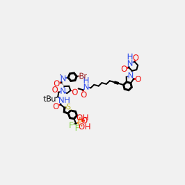 CN(C(=O)[C@@H]1C[C@@H](OCC(=O)NCCCCCCC#Cc2cccc3c2CN(C2CCC(=O)NC2=O)C3=O)CN1C(=O)[C@@H](NC(=O)c1cc2cc(C(F)(F)P(=O)(O)O)ccc2s1)C(C)(C)C)c1ccc(Br)cc1